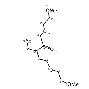 COCCOCCN(CC(C)=O)C(=O)COCCOC